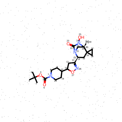 CC(C)(C)OC(=O)N1CCC(C2CC([C@@H]3CC4(CC4)[C@@H]4CN3C(=O)N4O)=NO2)CC1